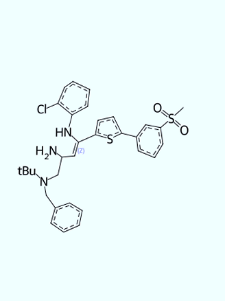 CC(C)(C)N(Cc1ccccc1)CC(N)/C=C(\Nc1ccccc1Cl)c1ccc(-c2cccc(S(C)(=O)=O)c2)s1